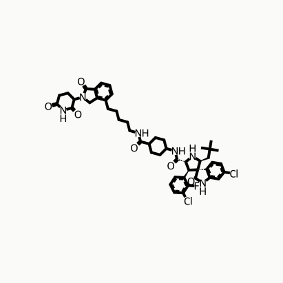 CC(C)(C)C[C@@H]1N[C@@H](C(=O)NC2CCC(C(=O)NCCCCCc3cccc4c3CN(C3CCC(=O)NC3=O)C4=O)CC2)[C@H](c2cccc(Cl)c2F)[C@]12C(=O)Nc1cc(Cl)ccc12